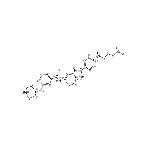 CN(C)CCCNc1ccc(-c2nc3cc(NC(=O)c4cccc(CN5CCNCC5)c4)ccc3[nH]2)cn1